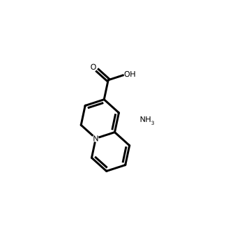 N.O=C(O)C1=CCN2C=CC=CC2=C1